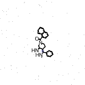 CN/C(=C1/CCN(C(=O)c2cccc3ccccc23)CC1=N)c1ccccc1